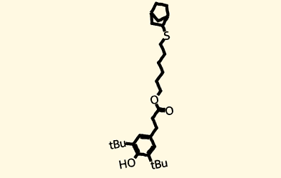 CC(C)(C)c1cc(CCC(=O)OCCCCCCSC2CC3CCC2C3)cc(C(C)(C)C)c1O